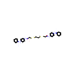 O=C(CCSCCCCSCCC(=O)Nc1ccc(Nc2ccccc2)cc1)Nc1ccc(Nc2ccccc2)cc1